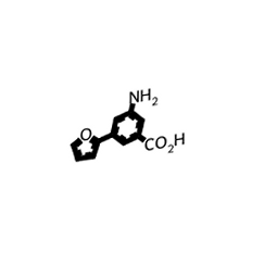 Nc1cc(C(=O)O)cc(-c2ccco2)c1